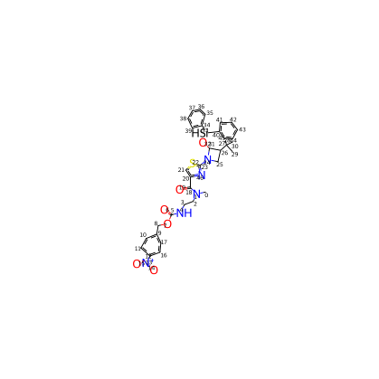 CN(CCNC(=O)OCc1ccc([N+](=O)[O-])cc1)C(=O)c1csc(N2CC(C(C)(C)C)C2O[SiH](c2ccccc2)c2ccccc2)n1